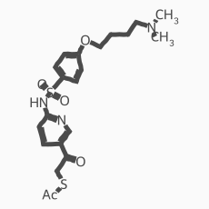 CC(=O)SCC(=O)c1ccc(NS(=O)(=O)c2ccc(OCCCCN(C)C)cc2)nc1